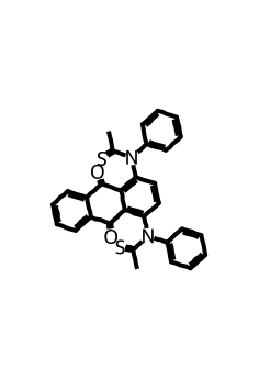 CC(=S)N(c1ccccc1)c1ccc(N(C(C)=S)c2ccccc2)c2c1C(=O)c1ccccc1C2=O